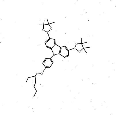 CCCCC(CC)COc1ccc(-n2c3ccc(B4OC(C)(C)C(C)(C)O4)cc3c3cc(B4OC(C)(C)C(C)(C)O4)ccc32)cc1